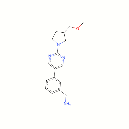 COCC1CCN(c2ncc(-c3cccc(CN)c3)cn2)C1